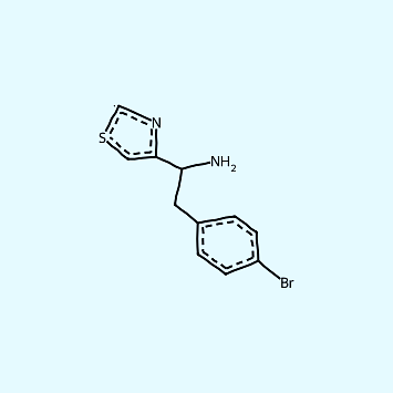 NC(Cc1ccc(Br)cc1)c1cs[c]n1